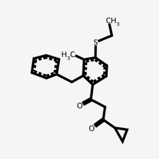 CCSc1ccc(C(=O)CC(=O)C2CC2)c(Cc2ccccc2)c1C